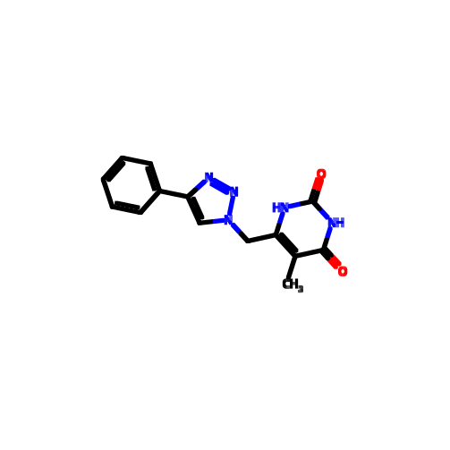 Cc1c(Cn2cc(-c3ccccc3)nn2)[nH]c(=O)[nH]c1=O